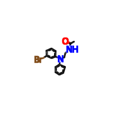 CC(=O)NCCN(c1ccccc1)c1cccc(Br)c1